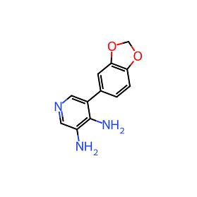 Nc1cncc(-c2ccc3c(c2)OCO3)c1N